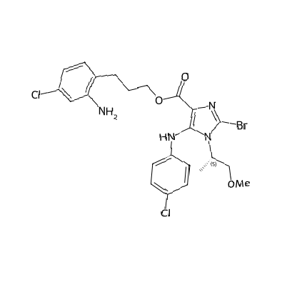 COC[C@H](C)n1c(Br)nc(C(=O)OCCCc2ccc(Cl)cc2N)c1Nc1ccc(Cl)cc1